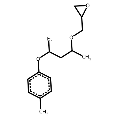 CCC(CC(C)OCC1CO1)Oc1ccc(C)cc1